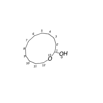 OC1CCCCCCCCCCCO1